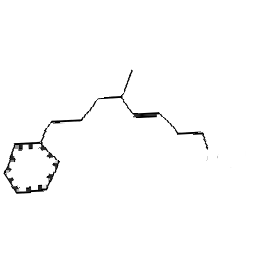 CCOC(=O)CCC=CC(C)CCCc1ccccc1